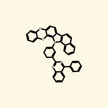 C1=C(c2nc(-c3ccccc3)c3ccccc3n2)CCC=C1n1c2c3c(ccc2c2ccc4ccccc4c21)Oc1ccccc1O3